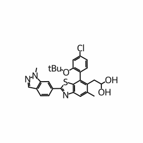 Cc1cc2nc(-c3ccc4cnn(C)c4c3)sc2c(-c2ccc(Cl)cc2OC(C)(C)C)c1CC(O)O